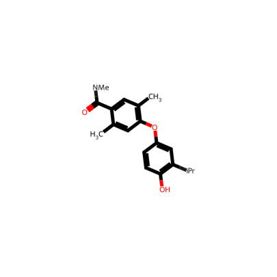 CNC(=O)c1cc(C)c(Oc2ccc(O)c(C(C)C)c2)cc1C